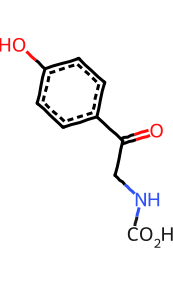 O=C(O)NCC(=O)c1ccc(O)cc1